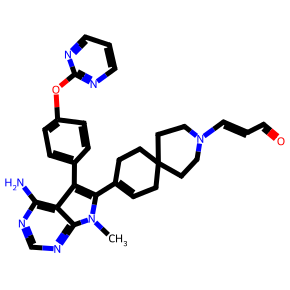 Cn1c(C2=CCC3(CC2)CCN(C=CC=O)CC3)c(-c2ccc(Oc3ncccn3)cc2)c2c(N)ncnc21